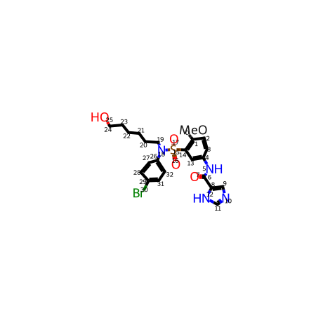 COc1ccc(NC(=O)c2cnc[nH]2)cc1S(=O)(=O)N(CCCCCCO)c1ccc(Br)cc1